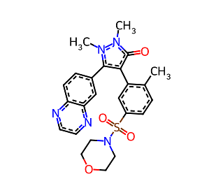 Cc1ccc(S(=O)(=O)N2CCOCC2)cc1-c1c(-c2ccc3nccnc3c2)n(C)n(C)c1=O